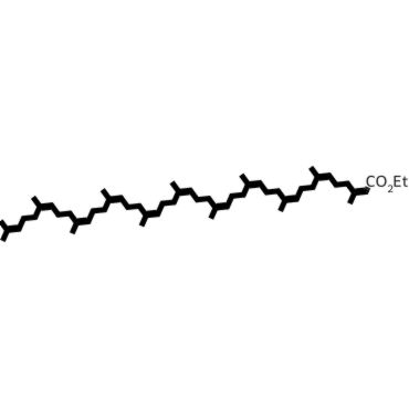 CCOC(=O)C=C(C)CCC=C(C)CCC=C(C)CCC=C(C)CCC=C(C)CCC=C(C)CCC=C(C)CCC=C(C)CCC=C(C)CCC=C(C)CCC=C(C)C